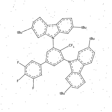 CC(C)(C)c1ccc2c3ccc(C(C)(C)C)cc3n(-c3cc(-c4cc(F)c(F)c(F)c4)cc(-n4c5cc(C(C)(C)C)ccc5c5ccc(C(C)(C)C)cc54)c3C(F)(F)F)c2c1